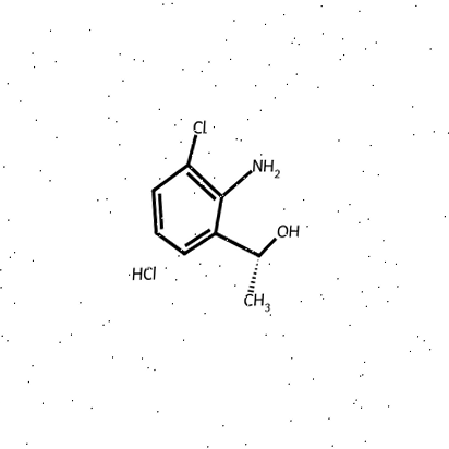 C[C@@H](O)c1cccc(Cl)c1N.Cl